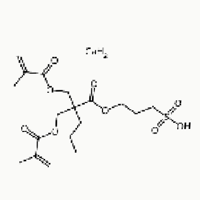 C=C(C)C(=O)OCC(CCC)(COC(=O)C(=C)C)C(=O)OCCCS(=O)(=O)O.[CaH2]